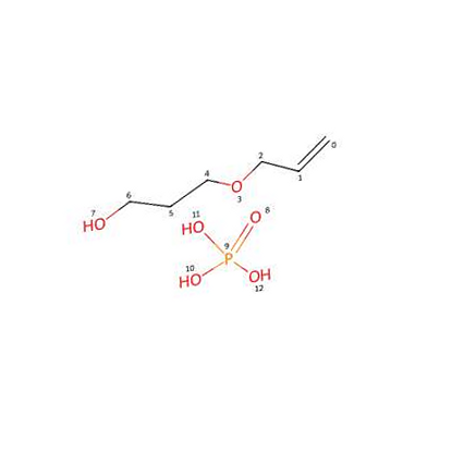 C=CCOCCCO.O=P(O)(O)O